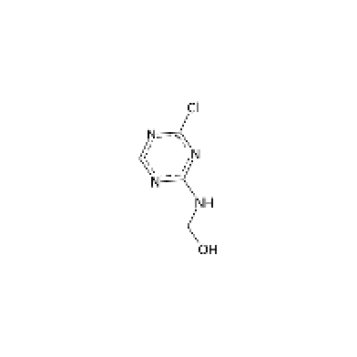 OCNc1ncnc(Cl)n1